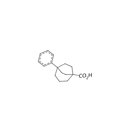 O=C(O)C12CCCC(c3ccccc3)(CC1)CC2